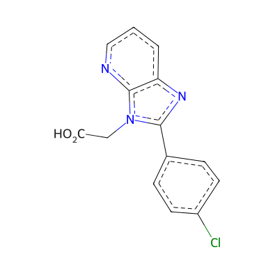 O=C(O)Cn1c(-c2ccc(Cl)cc2)nc2cccnc21